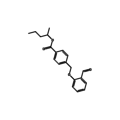 CCCC(C)OC(=O)c1ccc(COc2ccccc2C=O)cc1